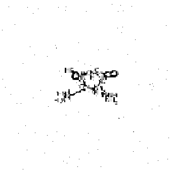 C[C@H]1C(=O)N[C@@H](CCCNC(=N)N)C(=O)N[C@@H](Cc2ccc3ccccc3c2)C(=O)NCC(=O)N[C@H](Cc2ccc(O)cc2)C(=O)N1CCCCCCNC(=N)N